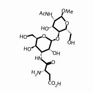 CO[C@H]1O[C@H](CO)[C@@H](O[C@@H]2O[C@H](CO)[C@H](O)[C@@H](NC(=O)[C@@H](N)CC(=O)O)[C@H]2O)[C@H](O)[C@@H]1NC(C)=O